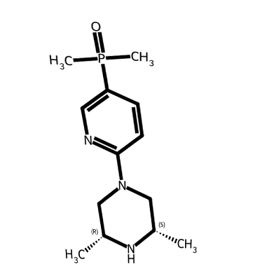 C[C@@H]1CN(c2ccc(P(C)(C)=O)cn2)C[C@H](C)N1